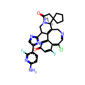 Nc1ccc(-c2cnc(C3CN4C(=O)CC5(CCCC5)[C@H]4C4=C3C3=CC(=O)C=C(F)C3=C(Cl)C=NC4)[nH]2)c(F)n1